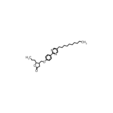 CCCCCCCCCCc1cnc(-c2ccc(OCC3CC(=O)OC3CCC)cc2)nc1